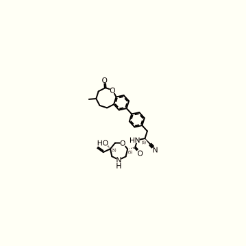 C=C[C@]1(O)CNC[C@@H](C(=O)N[C@H](C#N)Cc2ccc(-c3ccc4c(c3)CCC(C)CC(=O)O4)cc2)OC1